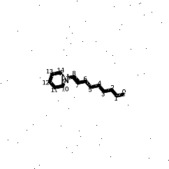 CCCCCCCC=CN1CCCCC1